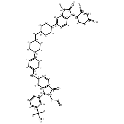 C=CCn1c(=O)c2cnc(Nc3ccc(N4CCC(CN5CCC(c6ccc7c(c6)n(C)c(=O)n7C6CCC(=O)NC6=O)CC5)CC4)cc3)nc2n1-c1cccc(C(C)(C)O)n1